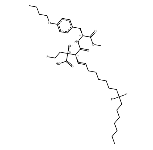 CCCCCCCC(F)(F)CCCCCCC=C[C@H](C(=O)N[C@@H](Cc1ccc(OCCCC)cc1)C(=O)OC)[C@@](O)(CCF)C(=O)O